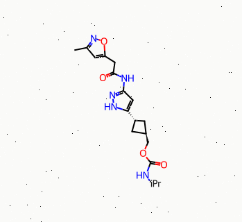 Cc1cc(CC(=O)Nc2cc([C@H]3C[C@H](COC(=O)NC(C)C)C3)[nH]n2)on1